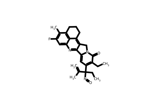 C=C(C)C(CC)(N=O)c1cc2n(c(=O)c1CC)Cc1c-2nc2cc(F)c(C)c3c2c1CCC3